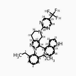 CCc1cccc(CC)c1-n1nc2c(c1-c1nccc3[nH]ccc13)CN(c1ncc(C(F)(F)F)cn1)CC2